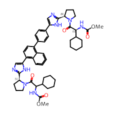 COC(=O)NC(C(=O)N1CCC[C@H]1c1ncc(-c2ccc(-c3ccc(-c4cnc([C@H]5CCCN5C(=O)[C@@H](NC(=O)OC)C5CCCCC5)[nH]4)cc3)c3c2C=C=C=C3)[nH]1)C1CCCCC1